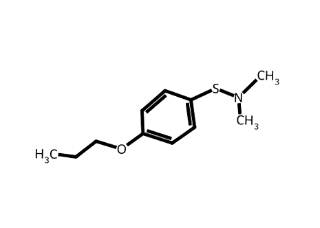 CCCOc1ccc(SN(C)C)cc1